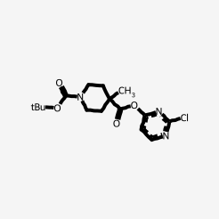 CC(C)(C)OC(=O)N1CCC(C)(C(=O)Oc2ccnc(Cl)n2)CC1